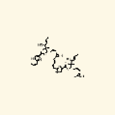 C/C=C\c1nc(C(=O)O[C@@H](C/C=C\[C@H]2N[C@H]2/C=C/C=C\c2nc(C(=O)O[C@@H](C/C=C\[C@H]3N[C@H]3C)C(C)(C)[C@@H](O)/C=C/C)c[nH]2)C(C)(C)[C@@H](O)/C=C/C)c[nH]1